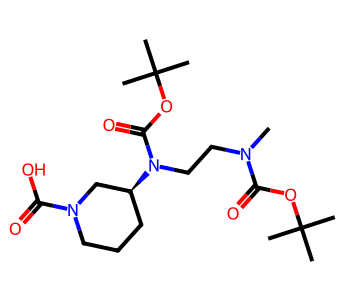 CN(CCN(C(=O)OC(C)(C)C)[C@H]1CCCN(C(=O)O)C1)C(=O)OC(C)(C)C